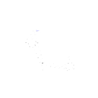 CCCC[C@H](CCCCCCCCCCC1CCCCCC(CCC)C1)CCCCCCCC[C@@H]1CCCCCCC(CCCN)CCC1